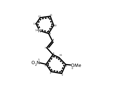 COc1ccc([N+](=O)[O-])c(C=Cc2ccccn2)c1